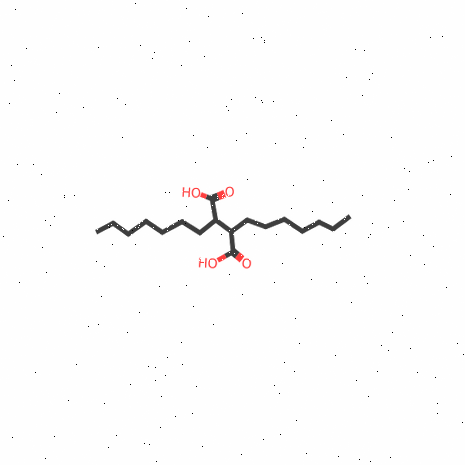 CCCCCCCC(C(=O)O)C(CCCCCCC)C(=O)O